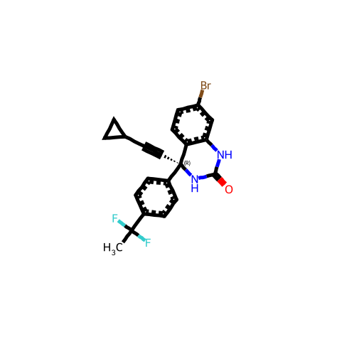 CC(F)(F)c1ccc([C@]2(C#CC3CC3)NC(=O)Nc3cc(Br)ccc32)cc1